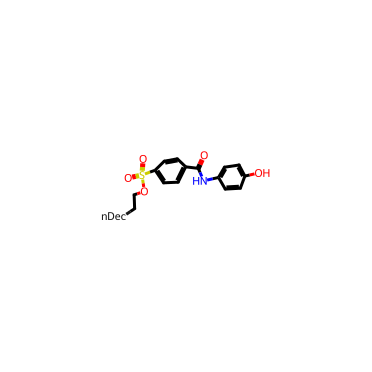 CCCCCCCCCCCCOS(=O)(=O)c1ccc(C(=O)Nc2ccc(O)cc2)cc1